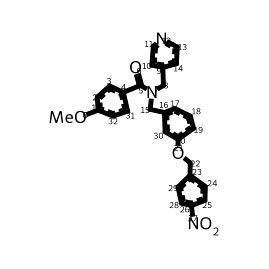 COc1ccc(C(=O)N(Cc2ccncc2)Cc2cccc(OCc3ccc([N+](=O)[O-])cc3)c2)cc1